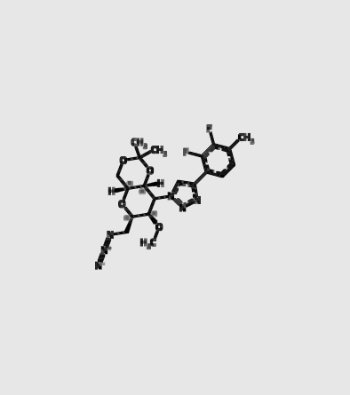 CO[C@@H]1C(n2cc(-c3ccc(C)c(F)c3F)nn2)[C@H]2OC(C)(C)OC[C@H]2O[C@@H]1CN=[N+]=[N-]